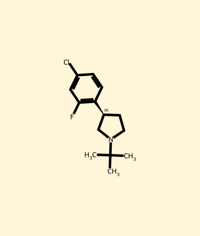 CC(C)(C)N1CC[C@H](c2ccc(Cl)cc2F)C1